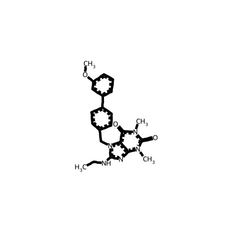 CCNc1nc2c(c(=O)n(C)c(=O)n2C)n1Cc1ccc(-c2cccc(OC)c2)cc1